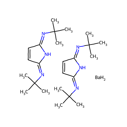 CC(C)(C)N=C1C=CC(=NC(C)(C)C)N1.CC(C)(C)N=C1C=CC(=NC(C)(C)C)N1.[BaH2]